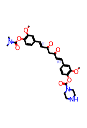 COc1cc(/C=C/C(=O)CC(=O)/C=C/c2ccc(OC(=O)N3CCNCC3)c(OC)c2)ccc1OC(=O)N(C)C